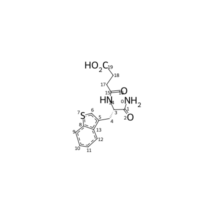 NC(=O)[C@H](Cc1csc2ccccc12)NC(=O)CCC(=O)O